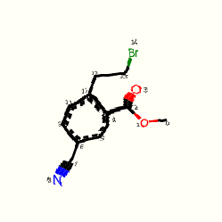 COC(=O)c1cc(C#N)ccc1CCBr